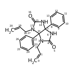 C=CCN1C(=O)NC2(c3ccccc3)NC(=O)N(CC=C)C12c1ccccc1